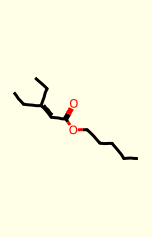 CCCCCOC(=O)C=C(CC)CC